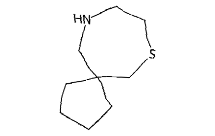 C1CCC2(C1)CNCCSC2